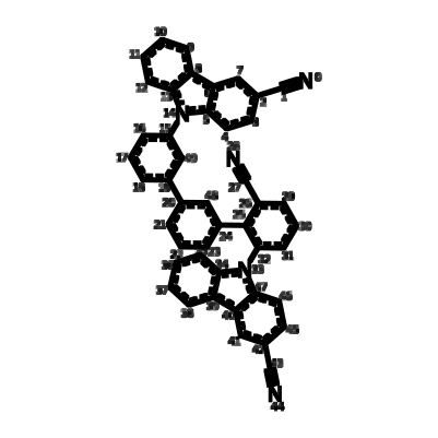 N#Cc1ccc2c(c1)c1ccccc1n2-c1cccc(-c2cccc(-c3c(C#N)cccc3-n3c4ccccc4c4cc(C#N)ccc43)c2)c1